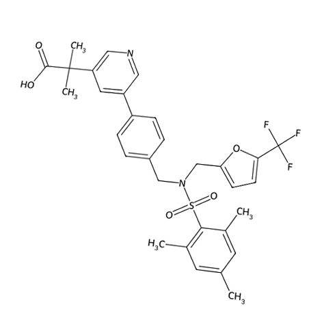 Cc1cc(C)c(S(=O)(=O)N(Cc2ccc(-c3cncc(C(C)(C)C(=O)O)c3)cc2)Cc2ccc(C(F)(F)F)o2)c(C)c1